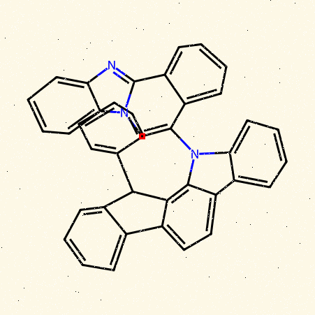 c1ccc(C2c3ccccc3-c3ccc4c5ccccc5n(-c5cn6c7ccccc7nc6c6ccccc56)c4c32)cc1